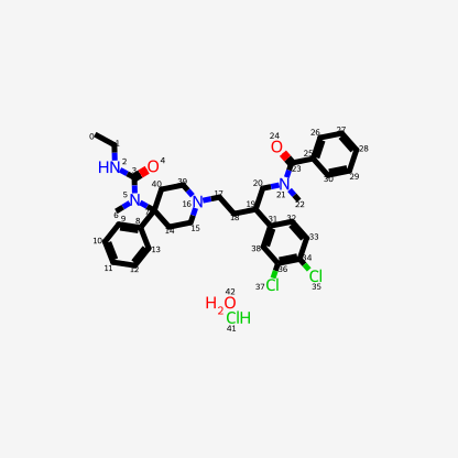 CCNC(=O)N(C)C1(c2ccccc2)CCN(CCC(CN(C)C(=O)c2ccccc2)c2ccc(Cl)c(Cl)c2)CC1.Cl.O